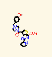 COc1ccc(CN2CCN(C(=O)c3csc4c(O)nc(-c5ccccn5)nc34)CC2)cc1